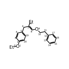 CCOc1ccc(CC(=COCCc2ccccc2)CC)cc1